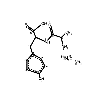 CC(N)C(=O)NC(Cc1ccc(O)cc1)C(=O)O.O.O.O